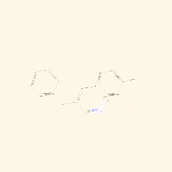 Bc1cc(Br)c2cc(Cc3ccc(F)cc3)cnc2c1O